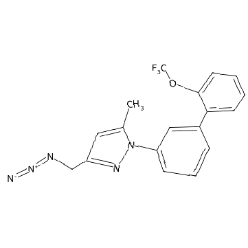 Cc1cc(CN=[N+]=[N-])nn1-c1cccc(-c2ccccc2OC(F)(F)F)c1